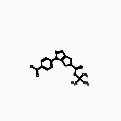 CC(C)(C)OC(=O)N1Cc2cnn(-c3ccc([N+](=O)[O-])cc3)c2C1